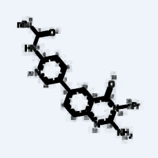 CCCCC(=O)Nc1ccc(-c2ccc3nc(N)n(CCC)c(=O)c3c2)cn1